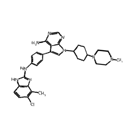 Cc1c(Cl)ccc2[nH]c(Nc3ccc(-c4cn(C5CCC(N6CCN(C)CC6)CC5)c5ncnc(N)c45)cc3)nc12